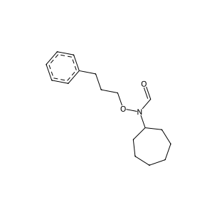 O=CN(OCCCc1ccccc1)C1CCCCCC1